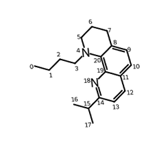 CCCCN1CCCc2ccc3ccc(C(C)C)nc3c21